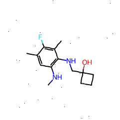 CNc1cc(C)c(F)c(C)c1NCC1(O)CCC1